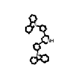 C1=C(c2cccc(-n3c4ccccc4c4ccccc43)c2)CC(c2cccc(-n3c4ccccc4c4ccccc43)c2)=CN1